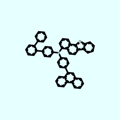 c1ccc(-c2ccccc2-c2ccc(N(c3ccc(-c4cc5ccccc5c5ccccc45)cc3)c3cccc4c3ccc3c5ccccc5oc43)cc2)cc1